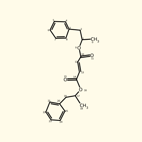 CC(Cc1ccccc1)OC(=O)C=CC(=O)OC(C)Cc1ccccc1